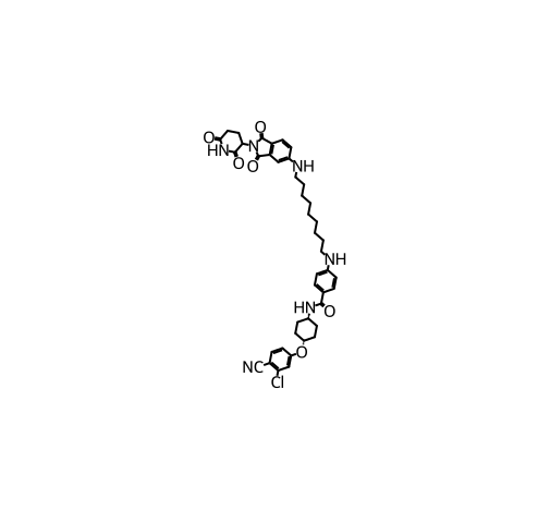 N#Cc1ccc(O[C@H]2CC[C@H](NC(=O)c3ccc(NCCCCCCCCCNc4ccc5c(c4)C(=O)N(C4CCC(=O)NC4=O)C5=O)cc3)CC2)cc1Cl